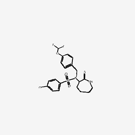 O=C1NCCCCC1N(Cc1ccc(OC(F)F)cc1)S(=O)(=O)c1ccc(Cl)cc1